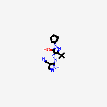 CC(C)(C)c1nn(-c2ccccc2)c(O)c1/N=N/c1[nH]ncc1C#N